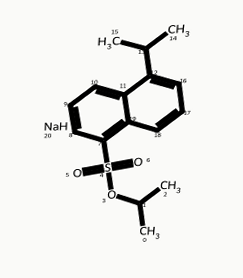 CC(C)OS(=O)(=O)c1cccc2c(C(C)C)cccc12.[NaH]